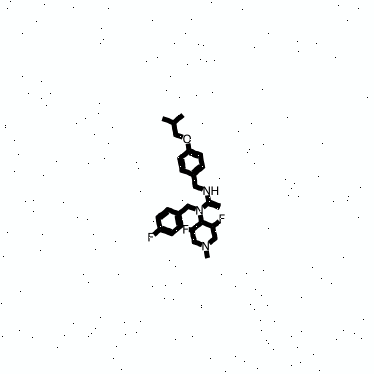 C=C(NCc1ccc(OCC(C)C)cc1)N(Cc1ccc(F)cc1)C1C(F)CN(C)CC1F